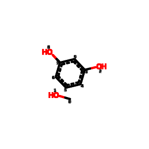 CO.Oc1cccc(O)c1